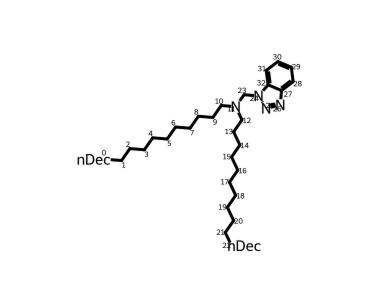 CCCCCCCCCCCCCCCCCCCCN(CCCCCCCCCCCCCCCCCCCC)Cn1nnc2ccccc21